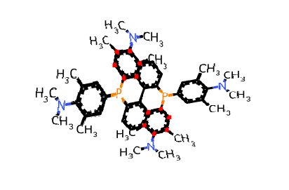 Cc1cc(P(c2cc(C)c(N(C)C)c(C)c2)c2ccc3ccccc3c2-c2c(P(c3cc(C)c(N(C)C)c(C)c3)c3cc(C)c(N(C)C)c(C)c3)ccc3ccccc23)cc(C)c1N(C)C